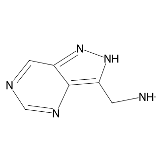 [NH]Cc1[nH]nc2cncnc12